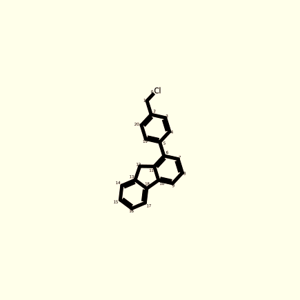 ClCc1ccc(-c2cccc3c2Cc2ccccc2-3)cc1